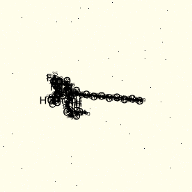 C=CCOC(=O)N[C@H](C(=O)N[C@@H](C)C(=O)Nc1ccc(CN(C(=O)O)[C@@H](C)C(=O)N[C@H]2CCc3c(C)c(F)cc4nc5c(c2c34)Cn2c-5cc3c(c2=O)COC(=O)[C@]3(O)CC)c(C(=O)NCCOCCOCCOCCOCCOCCOCCOCCOC)c1)C(C)C